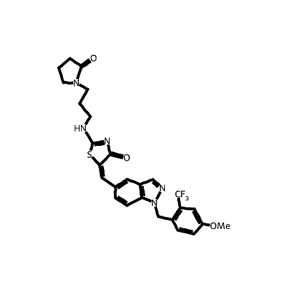 COc1ccc(Cn2ncc3cc(C=C4SC(NCCCN5CCCC5=O)=NC4=O)ccc32)c(C(F)(F)F)c1